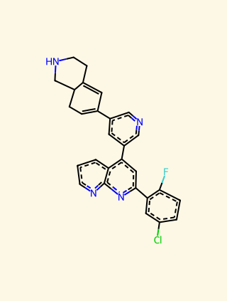 Fc1ccc(Cl)cc1-c1cc(-c2cncc(C3=CCC4CNCCC4=C3)c2)c2cccnc2n1